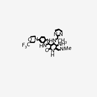 CN/C=C1/NC(=O)C(c2nc3ccc(N4CCOC(C(F)(F)F)C4)cc3[nH]2)=C(NC(C)c2ncccn2)C1=N